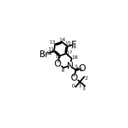 CC(C)(C)OC(=O)N1COc2c(Br)ccc(F)c2C1